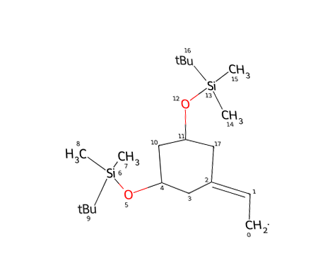 [CH2]C=C1CC(O[Si](C)(C)C(C)(C)C)CC(O[Si](C)(C)C(C)(C)C)C1